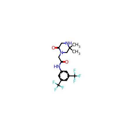 CC1(C)CN(CC(=O)Nc2cc(C(F)(F)F)cc(C(F)(F)F)c2)C(=O)CN1